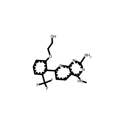 CNc1nc(N)nc2nc(-c3c(OCCO)cccc3C(F)(F)F)ccc12